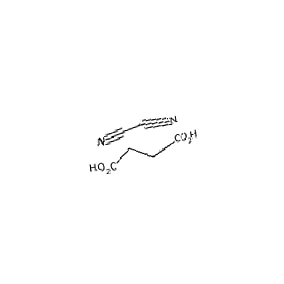 N#CC#N.O=C(O)CCC(=O)O